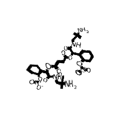 CC(C)(N)CNC(=O)C(OC(=O)/C=C/C(=O)OC(C(=O)NCC(C)(C)N)C1CCCCC1O[N+](=O)[O-])C1CCCCC1O[N+](=O)[O-]